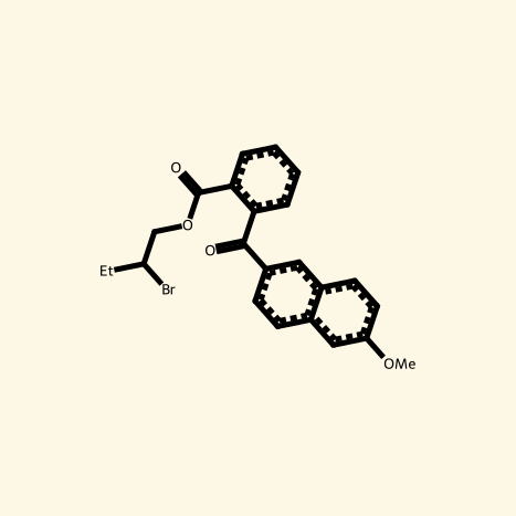 CCC(Br)COC(=O)c1ccccc1C(=O)c1ccc2cc(OC)ccc2c1